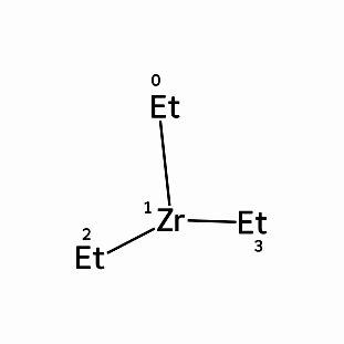 C[CH2][Zr]([CH2]C)[CH2]C